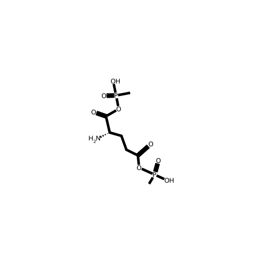 CP(=O)(O)OC(=O)CC[C@H](N)C(=O)OP(C)(=O)O